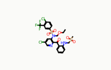 CCOCN(c1cc(Cl)cnc1C(=O)c1ccccc1NCS(C)(=O)=O)S(=O)(=O)c1ccc(Cl)c(C(F)(F)F)c1